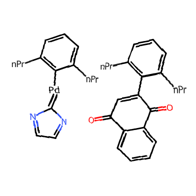 CCCc1cccc(CCC)[c]1[Pd]=[C]1N=CC=N1.CCCc1cccc(CCC)c1C1=CC(=O)c2ccccc2C1=O